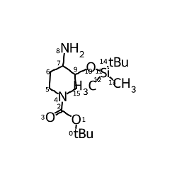 CC(C)(C)OC(=O)N1CCC(N)C(O[Si](C)(C)C(C)(C)C)C1